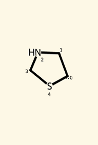 [C]1CNCS1